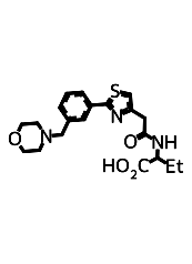 CCC(NC(=O)Cc1csc(-c2cccc(CN3CCOCC3)c2)n1)C(=O)O